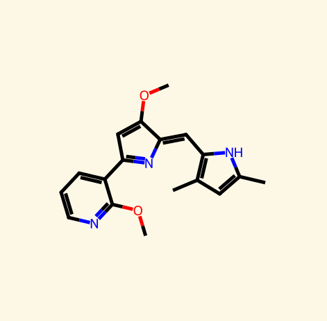 COC1=CC(c2cccnc2OC)=NC1=Cc1[nH]c(C)cc1C